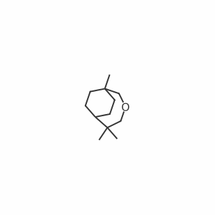 CC12CCC(CC1)C(C)(C)COC2